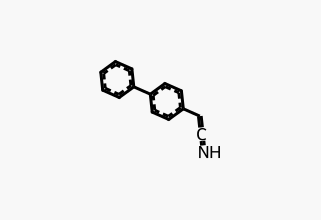 N=C=Cc1ccc(-c2ccccc2)cc1